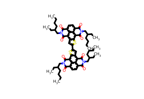 CCCCC(CC)CN1C(=O)c2ccc3c4c(c5sc(-c6cc7c8c9c(ccc%10c9c(c7s6)C(=O)N(CC(CC)CCCC)C%10=O)C(=O)N(CC(CC)CCCC)C8=O)cc5c(c24)C1=O)C(=O)N(CC(CC)CCCC)C3=O